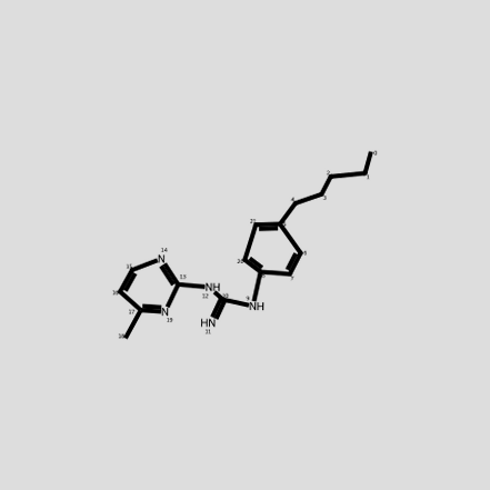 CCCCCc1ccc(NC(=N)Nc2nccc(C)n2)cc1